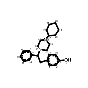 Oc1ccc(CC(c2ccccc2)N2CCN(C3CCCCC3)CC2)cc1